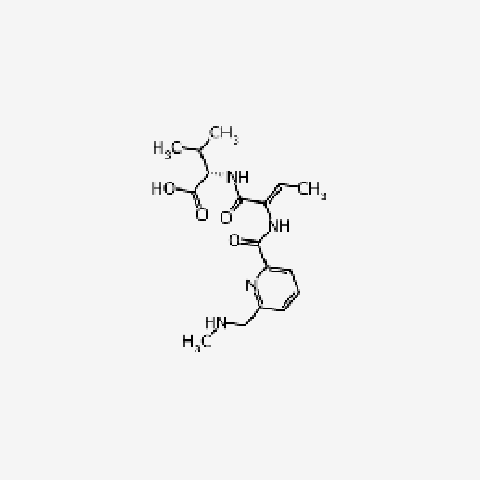 C/C=C(\NC(=O)c1cccc(CNC)n1)C(=O)N[C@H](C(=O)O)C(C)C